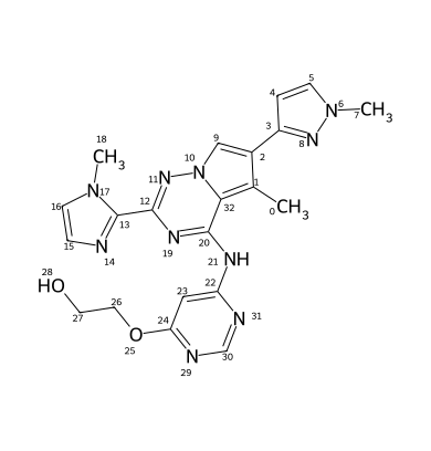 Cc1c(-c2ccn(C)n2)cn2nc(-c3nccn3C)nc(Nc3cc(OCCO)ncn3)c12